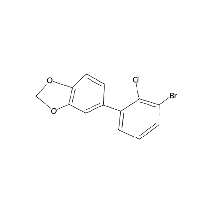 Clc1c(Br)cccc1-c1ccc2c(c1)OCO2